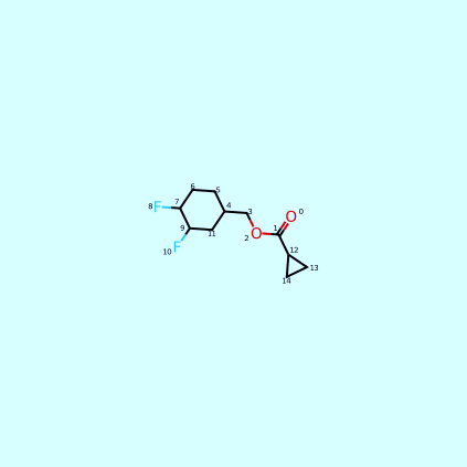 O=C(OCC1CCC(F)C(F)C1)C1CC1